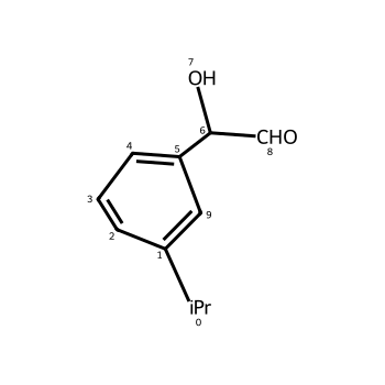 CC(C)c1cccc(C(O)C=O)c1